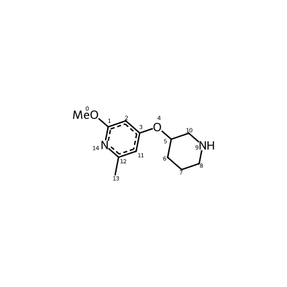 COc1cc(OC2CCCNC2)cc(C)n1